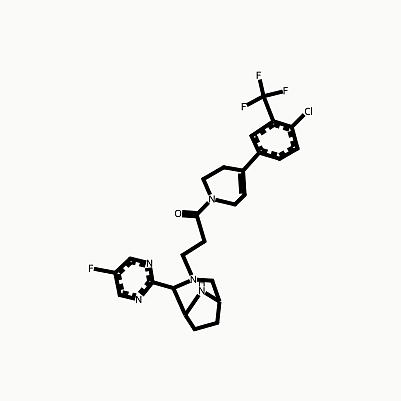 O=C(CCN1CC2CCC(N2)C1c1ncc(F)cn1)N1CC=C(c2ccc(Cl)c(C(F)(F)F)c2)CC1